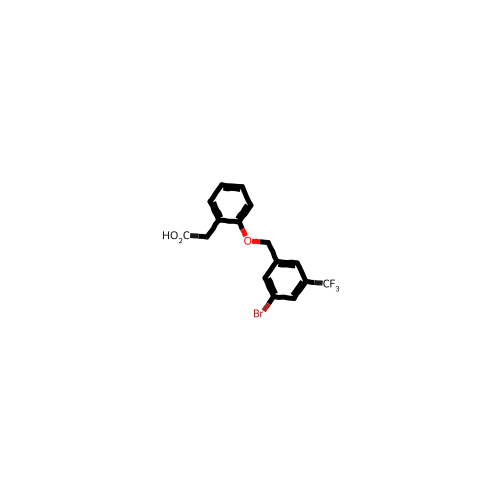 O=C(O)Cc1ccccc1OCc1cc(Br)cc(C(F)(F)F)c1